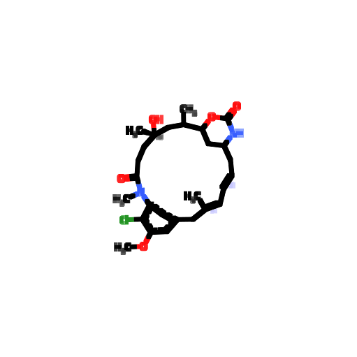 COc1cc2cc(c1Cl)N(C)C(=O)CC[C@](C)(O)CC(C)C1CC(C/C=C/C=C(\C)C2)NC(=O)O1